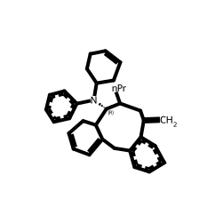 C=C1CC(CCC)[C@@H](N(c2ccccc2)C2CC=CCC2)C2CC=CC=C2Cc2ccccc21